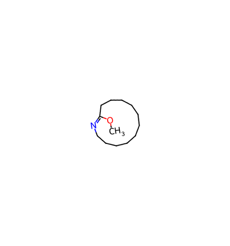 CO/C1=N\CCCCCCCCCCC1